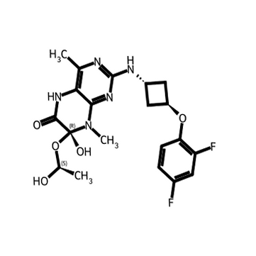 Cc1nc(N[C@H]2C[C@H](Oc3ccc(F)cc3F)C2)nc2c1NC(=O)[C@@](O)(O[C@@H](C)O)N2C